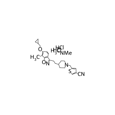 CNC.Cc1c(OCC2CC2)ccc2c(CCC3CCN(Cc4cc(C#N)cs4)CC3)noc12.Cl.Cl